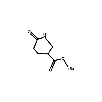 CC(C)(C)OC(=O)N1CCC(=O)NC1